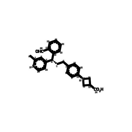 Cc1cc([C@@H](CCc2ccc(N3CC(C(=O)O)C3)cc2)c2ccccc2C=O)ccn1